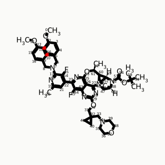 COc1ccc(CN(Cc2ccc(OC)cc2)c2nc(C)cc(-c3nc4c5c(nc(OCC6(CN7CCOCC7)CC6)nc5c3F)N3C[C@H]5CC6[C@H](N5C(=O)OC(C)(C)C)[C@]63[C@H](C)O4)c2F)cc1